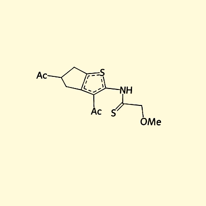 COCC(=S)Nc1sc2c(c1C(C)=O)CC(C(C)=O)C2